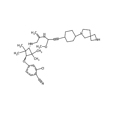 C=C(CN[C@H]1C(C)(C)[C@H](Oc2ccc(C#N)c(Cl)c2)C1(C)C)NC(C#CC1CCC(N2CCC3(CNC3)C2)CC1)OC